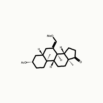 CO/C=C1\C[C@H]2C[C@@H](OC(C)=O)CC[C@]2(C)[C@H]2CC[C@]3(C)C(=O)CC[C@H]3[C@H]12